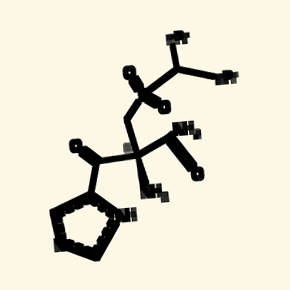 CCCC(CCC)S(=O)(=O)C[C@](N)(C(N)=O)C(=O)c1cnc[nH]1